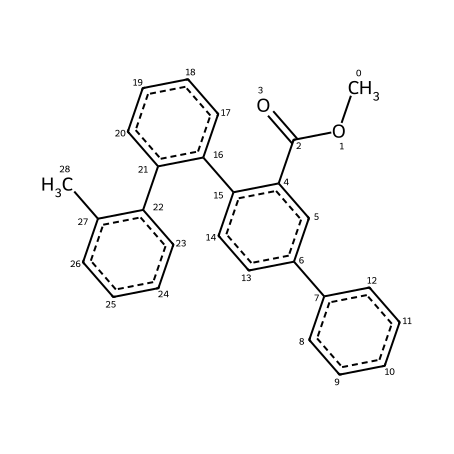 COC(=O)c1cc(-c2ccccc2)ccc1-c1ccccc1-c1ccccc1C